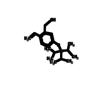 C=Cc1ccc(O[Si](C(C)C)(C(C)C)C(C)C)cc1CO